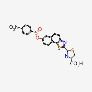 O=C(O)C1CSC(c2nc3ccc4cc(OS(=O)c5ccc([N+](=O)[O-])cc5)ccc4c3s2)=N1